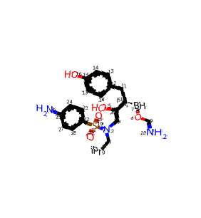 CC(C)CN(CC(O)[C@@H](BOCN)Cc1ccc(O)cc1)S(=O)(=O)c1ccc(N)cc1